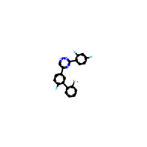 Fc1ccc(-c2nncc(-c3ccc(F)c(-c4ccccc4C(F)(F)F)c3)n2)c(F)c1